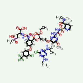 CCNc1nc(Cl)nc(NC(C)C)n1.CCOC(=O)C(C)OC(=O)c1cc(Oc2ccc(C(F)(F)F)cc2Cl)ccc1[N+](=O)[O-].COc1cc(OC)nc(NC(=O)NS(=O)(=O)c2ncccc2C(=O)N(C)C)n1.CP(=O)(O)CCC(N)C(=O)O